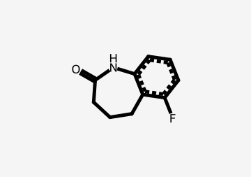 O=C1CCCc2c(F)cccc2N1